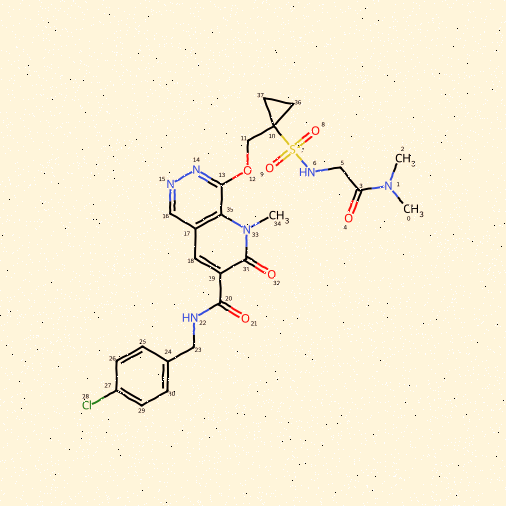 CN(C)C(=O)CNS(=O)(=O)C1(COc2nncc3cc(C(=O)NCc4ccc(Cl)cc4)c(=O)n(C)c23)CC1